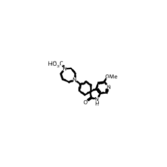 COc1cc2c(cn1)NC(=O)C21CCC(N2CCCN(C(=O)O)CC2)CC1